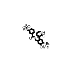 COc1cc(CNC(=O)c2cccc(NS(C)(=O)=O)c2)c(-c2ccc[nH]c2=O)cc1C(C)(C)C